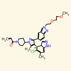 C=CC(=O)N1CCC(n2nc(-c3ccc4nn(CCOCCOC)cc4c3)c([C@@H]3C(Cl)=C(C)C=C4NN=CC43)c2C)CC1